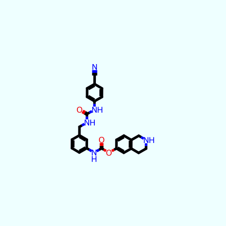 N#Cc1ccc(NC(=O)NCc2cccc(NC(=O)Oc3ccc4c(c3)CCNC4)c2)cc1